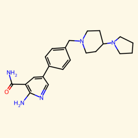 NC(=O)c1cc(-c2ccc(CN3CCC(N4CCCC4)CC3)cc2)cnc1N